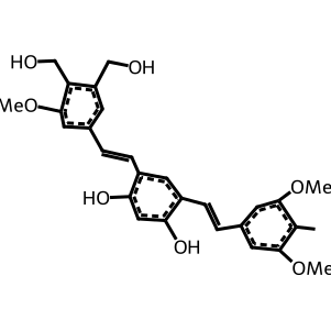 COc1cc(/C=C/c2cc(/C=C/c3cc(CO)c(CO)c(OC)c3)c(O)cc2O)cc(OC)c1C